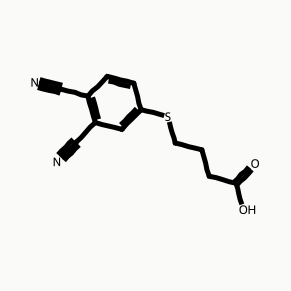 N#Cc1ccc(SCCCC(=O)O)cc1C#N